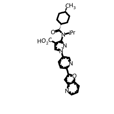 CC(C)N(c1nn(-c2ccc(-c3cc4ncccc4o3)nc2)cc1C(=O)O)C(=O)[C@H]1CC[C@H](C)CC1